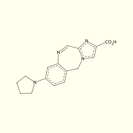 O=C(O)c1cn2c(n1)C=Nc1cc(N3CCCC3)ccc1C2